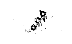 Cc1ccc2nc(C)n(-c3cncc(Nc4ccc(C(F)(F)F)cc4)n3)c2c1